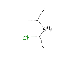 CC(C)[SiH2]C(C)Cl